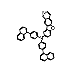 c1ccc2c(-c3ccc(N(c4ccc(-c5cccc6ccccc56)cc4)c4ccc5oc6cc7ccncc7cc6c5c4)cc3)cccc2c1